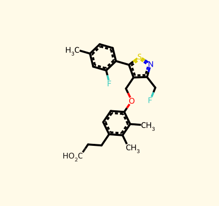 Cc1ccc(-c2snc(CF)c2COc2ccc(CCC(=O)O)c(C)c2C)c(F)c1